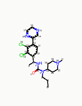 CCCN(C(=O)NC(C)c1ccc(-c2cnccn2)c(Cl)c1Cl)C1CCN(C)CC1